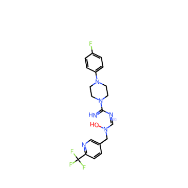 N=C(/N=C\N(O)Cc1ccc(C(F)(F)F)nc1)N1CCN(c2ccc(F)cc2)CC1